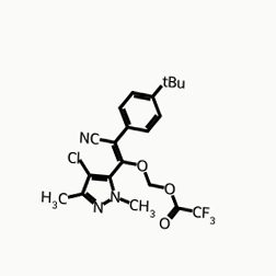 Cc1nn(C)c(/C(OCOC(=O)C(F)(F)F)=C(\C#N)c2ccc(C(C)(C)C)cc2)c1Cl